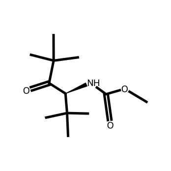 COC(=O)N[C@H](C(=O)C(C)(C)C)C(C)(C)C